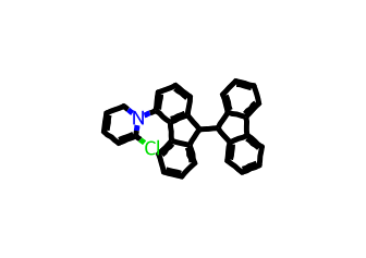 ClC1=CC=CCN1c1cccc2c1-c1ccccc1C2C1c2ccccc2-c2ccccc21